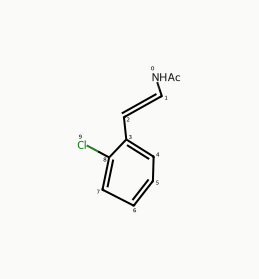 CC(=O)NC=Cc1ccccc1Cl